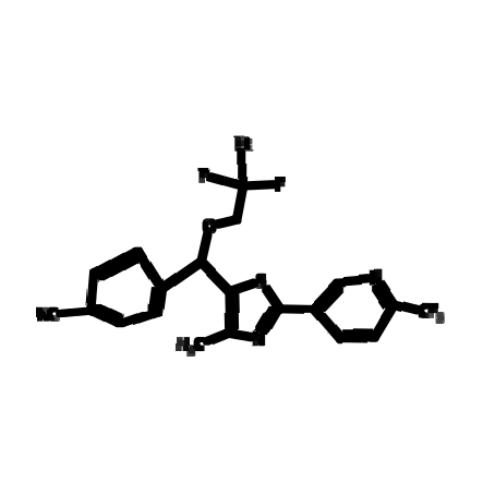 CCC(F)(F)COC(c1ccc(C#N)cc1)c1sc(-c2ccc(C(F)(F)F)nc2)nc1C